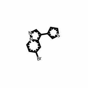 Brc1ccn2ncc(-c3ccsc3)c2c1